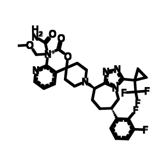 COC[N+]1(C(N)=O)C(=O)OC2(CCN([C@@H]3CC[C@@H](c4cccc(F)c4F)Cn4c3nnc4C3(C(F)(F)F)CC3)CC2)c2cccnc21